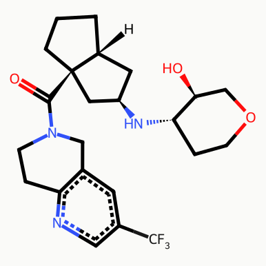 O=C(N1CCc2ncc(C(F)(F)F)cc2C1)[C@@]12CCC[C@@H]1C[C@@H](N[C@H]1CCOC[C@@H]1O)C2